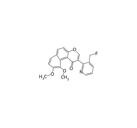 COc1ccc2ccc3occ(-c4ncccc4CF)c(=O)c3c2c1OC